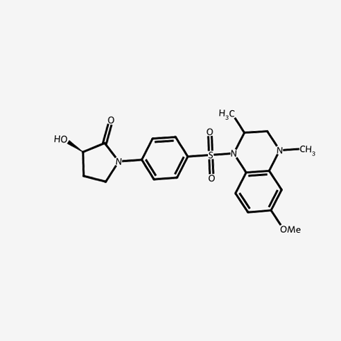 COc1ccc2c(c1)N(C)CC(C)N2S(=O)(=O)c1ccc(N2CC[C@@H](O)C2=O)cc1